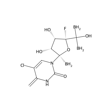 BC(B)(O)[C@@]1(F)O[C@@](B)(N2C=C(Cl)C(=C)NC2=O)[C@H](O)[C@@H]1O